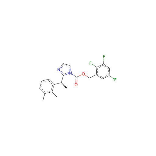 Cc1cccc([C@H](C)c2nccn2C(=O)OCc2cc(F)cc(F)c2F)c1C